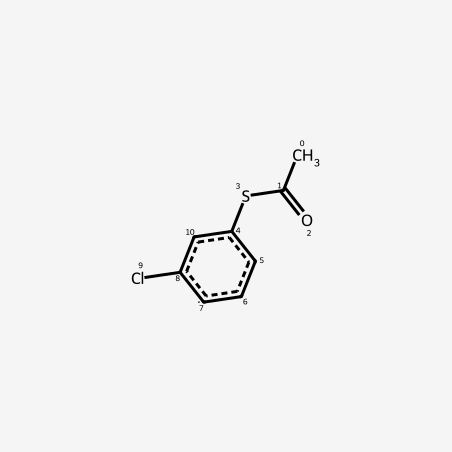 CC(=O)Sc1cc[c]c(Cl)c1